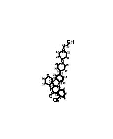 O=c1nc2n(c3cccc(Cl)c13)-c1ccc(C3CCN(C4CCN(CCO)CC4)CC3)cc1C21CCCCC1